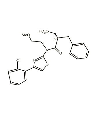 COCCN(C(=O)[C@@H](CC(=O)O)Cc1ccccc1)c1nc(-c2ccccc2Cl)cs1